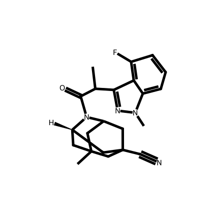 CC(C(=O)N1C2CC3(C)C[C@H]1CC(C#N)(C2)C3)c1nn(C)c2cccc(F)c12